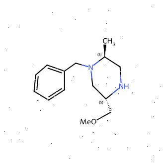 COC[C@@H]1CN(Cc2ccccc2)[C@@H](C)CN1